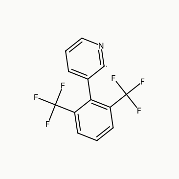 FC(F)(F)c1cccc(C(F)(F)F)c1-c1[c]nccc1